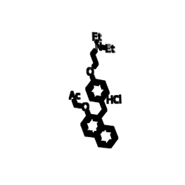 CCN(CC)CCOc1ccc(Cc2c(OCC(C)=O)ccc3ccccc23)cc1.Cl